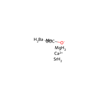 O=C([O-])[O-].[BaH2].[Ca+2].[MgH2].[Mn].[SrH2]